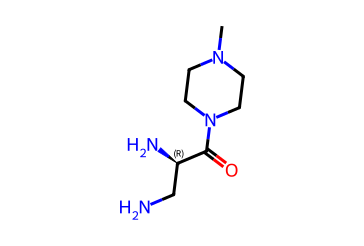 CN1CCN(C(=O)[C@H](N)CN)CC1